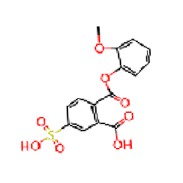 COc1ccccc1OC(=O)c1ccc(S(=O)(=O)O)cc1C(=O)O